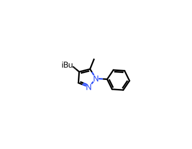 CCC(C)c1cnn(-c2ccccc2)c1C